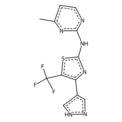 Cc1ccnc(Nc2nc(-c3cn[nH]c3)c(C(F)(F)F)s2)n1